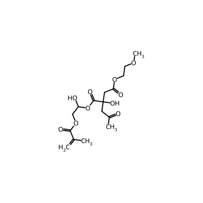 C=C(C)C(=O)OCC(O)OC(=O)C(O)(CC(C)=O)CC(=O)OCCOC